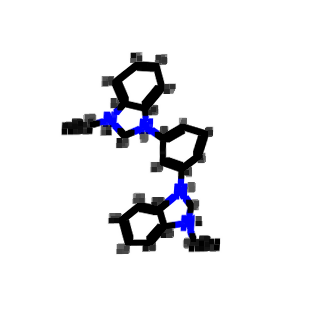 CCCCN1CN(c2cccc(N3CN(CCCC)c4ccccc43)c2)c2ccccc21